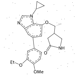 CCOc1cc(-c2cc(O[C@H](C)C3CNC(=O)C3)c3c(c2)ncn3C2CC2)ccc1OC